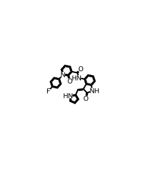 O=C1Nc2cccc(NC(=O)c3cccn(-c4ccc(F)cc4)c3=O)c2/C1=C/c1ccc[nH]1